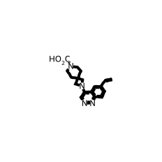 C=Cc1ccc2nncc(N3CC4(CCN(C(=O)O)CC4)C3)c2c1